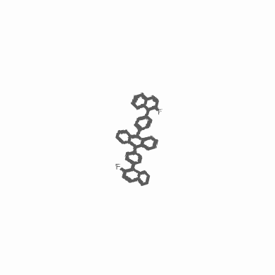 Fc1ccc2ccccc2c1-c1ccc(-c2c3ccccc3c(-c3ccc(-c4c(F)ccc5ccccc45)cc3)c3ccccc23)cc1